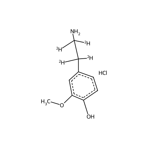 Cl.[2H]C([2H])(N)C([2H])([2H])c1ccc(O)c(OC)c1